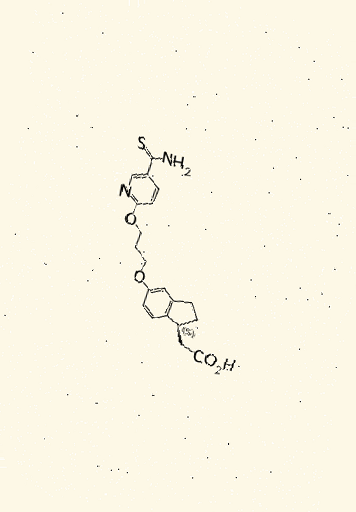 NC(=S)c1ccc(OCCCOc2ccc3c(c2)CC[C@H]3CC(=O)O)nc1